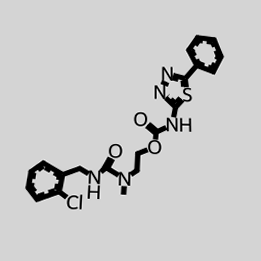 CN(CCOC(=O)Nc1nnc(-c2ccccc2)s1)C(=O)NCc1ccccc1Cl